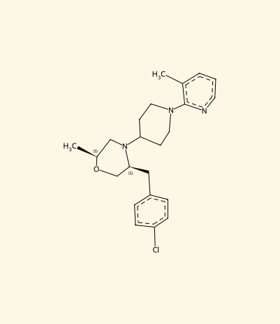 Cc1cccnc1N1CCC(N2C[C@H](C)OC[C@@H]2Cc2ccc(Cl)cc2)CC1